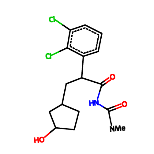 CNC(=O)NC(=O)C(CC1CCC(O)C1)c1cccc(Cl)c1Cl